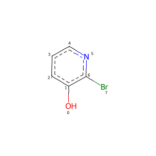 Oc1[c]ccnc1Br